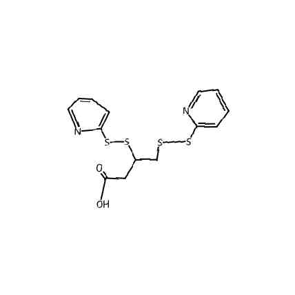 O=C(O)CC(CSSc1ccccn1)SSc1ccccn1